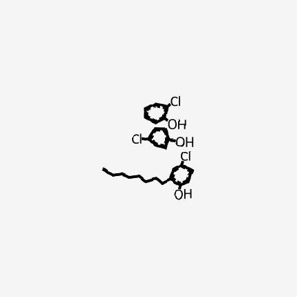 CCCCCCCCc1cc(Cl)ccc1O.Oc1ccc(Cl)cc1.Oc1ccccc1Cl